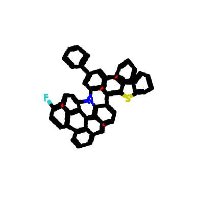 Fc1ccc(-c2cccc3cccc(-c4ccccc4N(c4cc(-c5ccccc5)cc(-c5ccccc5)c4)c4ccccc4-c4cccc5c4sc4ccccc45)c23)cc1